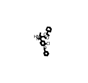 Cc1[nH]nc(-c2ccc(OCc3ccccc3)c(Cl)c2)c1C1=COC=C(C2=CC=CCC2)O1